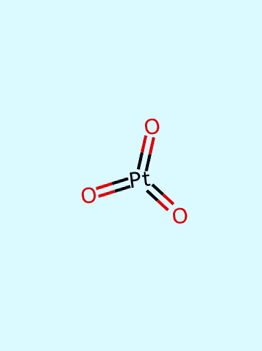 [O]=[Pt](=[O])=[O]